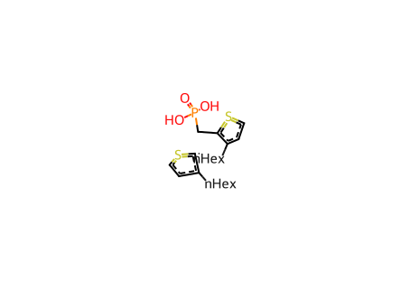 CCCCCCc1[c]scc1.CCCCCCc1ccsc1CP(=O)(O)O